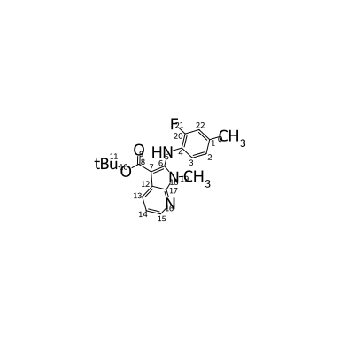 Cc1ccc(Nc2c(C(=O)OC(C)(C)C)c3cccnc3n2C)c(F)c1